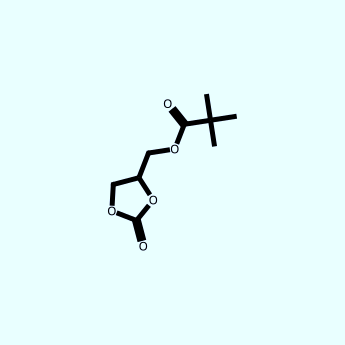 CC(C)(C)C(=O)OCC1COC(=O)O1